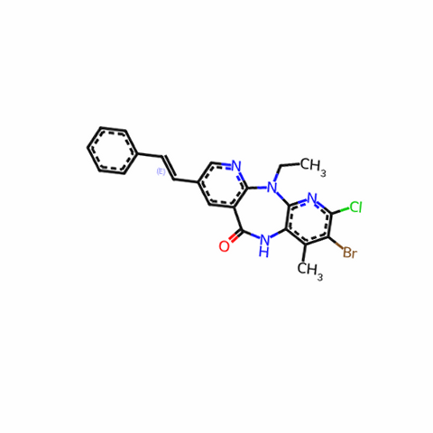 CCN1c2ncc(/C=C/c3ccccc3)cc2C(=O)Nc2c1nc(Cl)c(Br)c2C